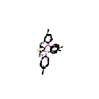 Cc1ccc(P(c2ccc(C)cc2)c2c(C(C)C)sc(C(C)C)c2P(c2ccc(C)cc2)c2ccc(C)cc2)cc1